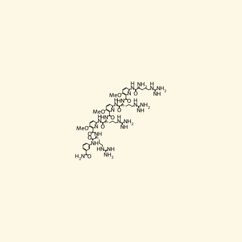 COc1ccc(NC(=O)[C@@H](CCCNC(=N)N)NC(=O)c2nc(NC(=O)[C@@H](CCCNC(=N)N)NC(=O)c3nc(NC(=O)[C@H](N)CCCNC(=N)N)ccc3OC)ccc2OC)nc1C(=O)N[C@H](CCCNC(=N)N)C(=O)Nc1cccc(C(N)=O)c1